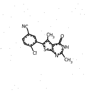 Cc1nc2sc(-c3cc(C#N)ccc3Cl)c(C)c2c(=O)[nH]1